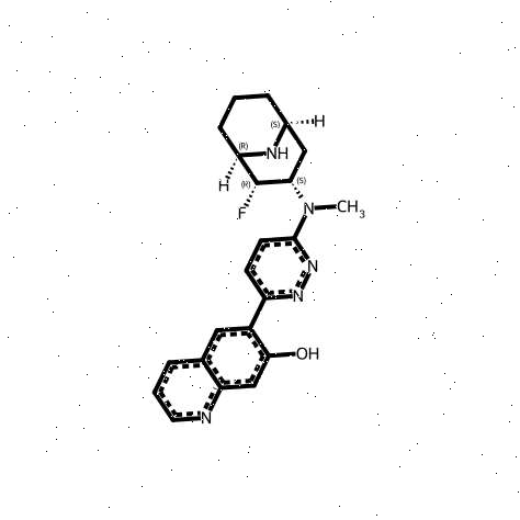 CN(c1ccc(-c2cc3cccnc3cc2O)nn1)[C@H]1C[C@@H]2CCC[C@@H](N2)[C@H]1F